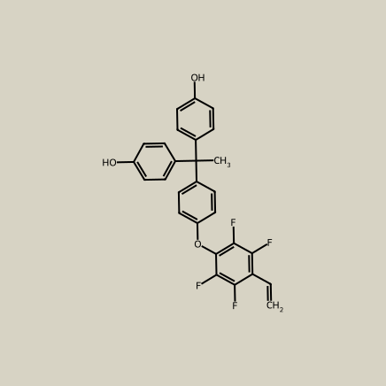 C=Cc1c(F)c(F)c(Oc2ccc(C(C)(c3ccc(O)cc3)c3ccc(O)cc3)cc2)c(F)c1F